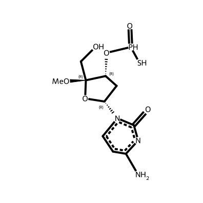 CO[C@]1(CO)O[C@@H](n2ccc(N)nc2=O)C[C@H]1O[PH](=O)S